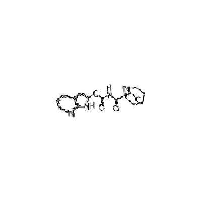 O=C(NC(=O)C1CC2CCN1CC2)Oc1cc2cccnc2[nH]1